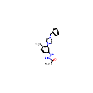 COC(=O)NNc1ccc([N+](=O)[O-])c(N2CCN(Cc3ccccc3)CC2)c1